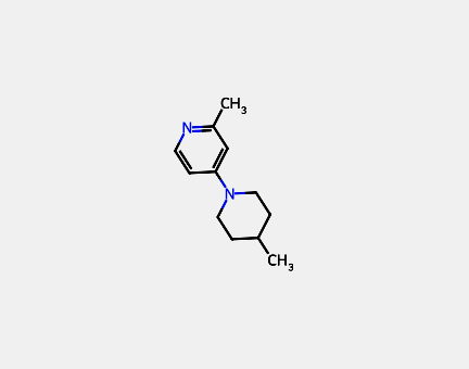 Cc1cc(N2CCC(C)CC2)ccn1